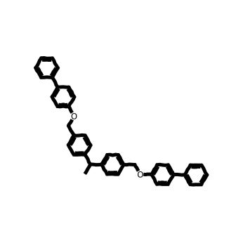 CC(c1ccc(COc2ccc(-c3ccccc3)cc2)cc1)c1ccc(COc2ccc(-c3ccccc3)cc2)cc1